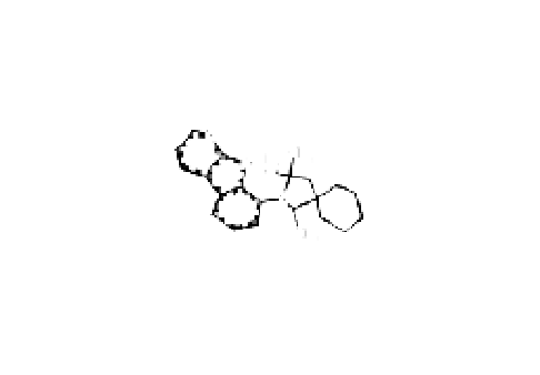 CC1N(c2cccc3c2oc2ncccc23)C(C)(C)CC12CCCCC2